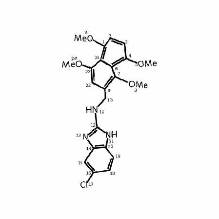 COc1ccc(OC)c2c(OC)c(CNc3nc4cc(Cl)ccc4[nH]3)cc(OC)c12